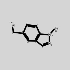 CC(C)Cc1ccc2c(cnn2C(C)C)c1